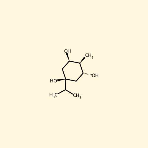 CC(C)[C@]1(O)C[C@@H](O)[C@@H](C)[C@H](O)C1